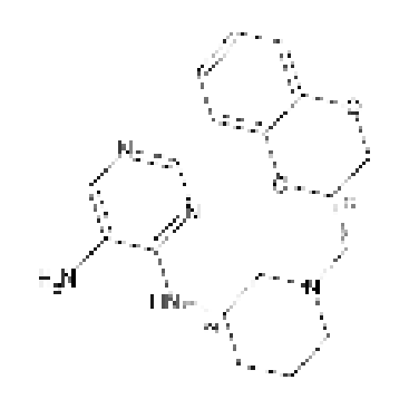 Nc1cncnc1N[C@H]1CCCN(C[C@H]2COc3ccccc3O2)C1